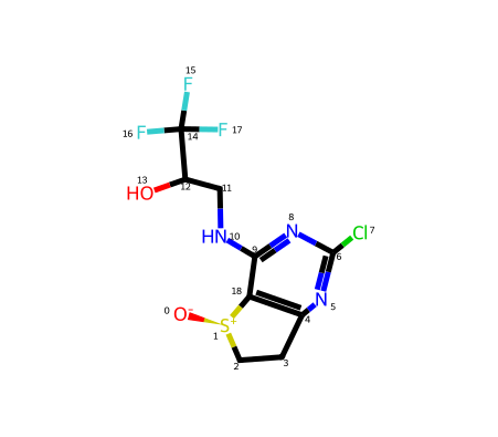 [O-][S@+]1CCc2nc(Cl)nc(NCC(O)C(F)(F)F)c21